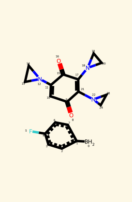 Bc1ccc(F)cc1.O=C1C=C(N2CC2)C(=O)C(N2CC2)=C1N1CC1